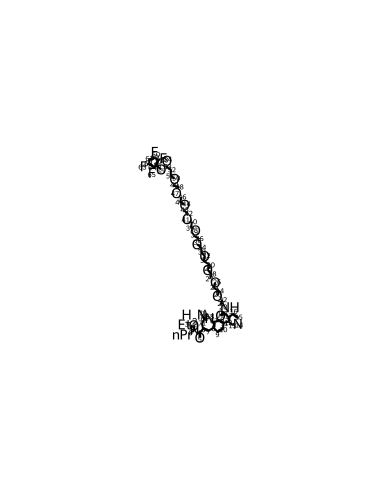 CCCN(OCC)C(=O)C1=Cc2ccc(-c3cnccc3C(=O)NCCOCCOCCOCCOCCOCCOCCOCCOCCOCCOCCC(=O)Oc3c(F)c(F)cc(F)c3F)cc2N=C(N)C1